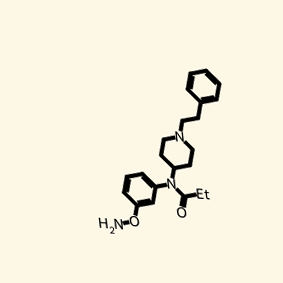 CCC(=O)N(c1cccc(ON)c1)C1CCN(CCc2ccccc2)CC1